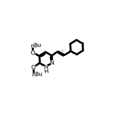 CCCCOC1=CC(/C=C/C2CCCCC2)=NNC1OCCCC